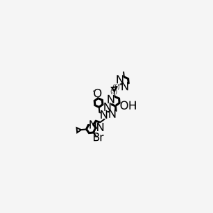 COc1ccc(CN(Cc2cn3cc(C4CC4)cc(Br)c3n2)c2ncc3c(O)cc([C@H]4C[C@@H]4c4nccc(C)n4)nc3n2)cc1